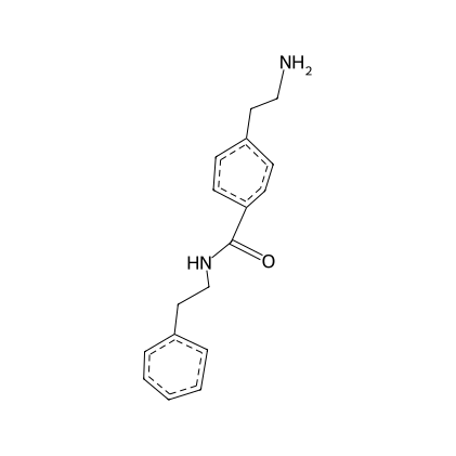 NCCc1ccc(C(=O)NCCc2ccccc2)cc1